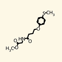 COC(=O)CNC(=O)CCCOc1ccc(SC)cc1